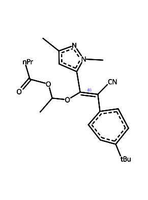 CCCC(=O)OC(C)O/C(=C(/C#N)c1ccc(C(C)(C)C)cc1)c1cc(C)nn1C